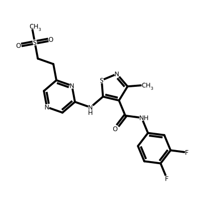 Cc1nsc(Nc2cncc(CCS(C)(=O)=O)n2)c1C(=O)Nc1ccc(F)c(F)c1